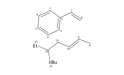 C=Cc1ccccc1.CC=CCC(CC)CCCC